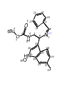 CC(C)(C)OC(=O)NCC(/N=C\c1ccccc1)C1=C[NH+]([O-])c2cc(I)ccc21